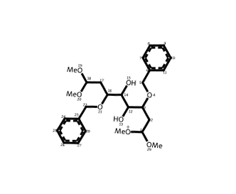 COC(CC(OCc1ccccc1)C(O)C(O)C(CC(OC)OC)OCc1ccccc1)OC